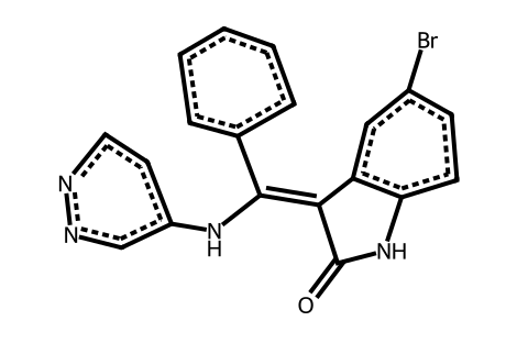 O=C1Nc2ccc(Br)cc2/C1=C(/Nc1ccnnc1)c1ccccc1